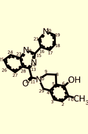 Cc1ccc2c(c1O)CCN(C(=O)c1nc(-c3cccnc3)nc3ccccc13)C2